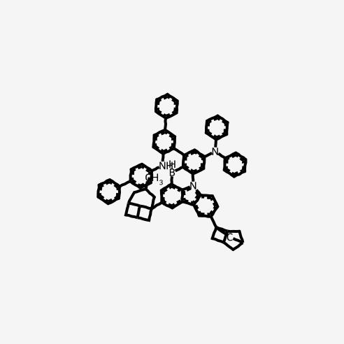 CC1CC2CC3CC(c4cc5c6c(c4)c4cc(C78CC9CC(C7)C8C9)ccc4n6-c4cc(N(c6ccccc6)c6ccccc6)cc(-c6cc(-c7ccccc7)ccc6Nc6ccc(-c7ccccc7)cc6)c4B5)(C1)C23